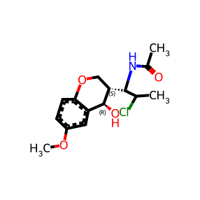 COc1ccc2c(c1)[C@H](O)[C@@H](C(NC(C)=O)C(C)Cl)CO2